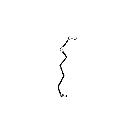 CCCCCCC[CH]OC=O